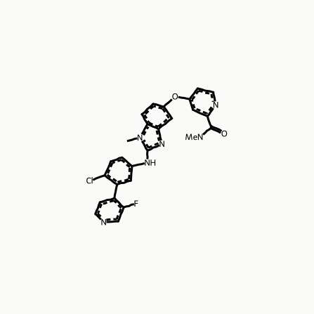 CNC(=O)c1cc(Oc2ccc3c(c2)nc(Nc2ccc(Cl)c(-c4ccncc4F)c2)n3C)ccn1